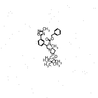 Cc1noc(-c2cccc(C(CN3CC[C@H](O[Si](C)(C)C(C)(C)C)C3)N(C)C(=O)OCc3ccccc3)c2)n1